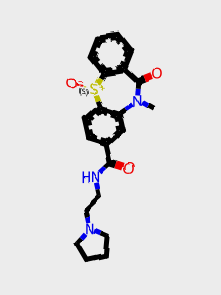 CN1C(=O)c2ccccc2[S@@+]([O-])c2ccc(C(=O)NCCN3CCCC3)cc21